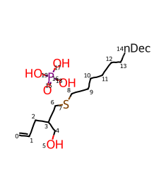 C=CCC(CO)CSCCCCCCCCCCCCCCCC.O=P(O)(O)O